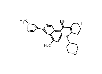 Cc1ccc(C(=N)C2=C(NC3CCOCC3)CCNC2)c2cnc(-c3cnn(C)c3)cc12